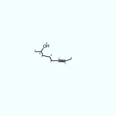 CC#CCCCC(C)O